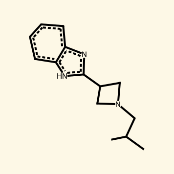 CC(C)CN1CC(c2nc3ccccc3[nH]2)C1